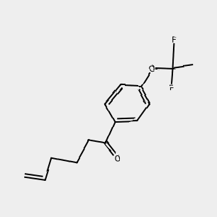 C=CCCCC(=O)c1ccc(OC(C)(F)F)cc1